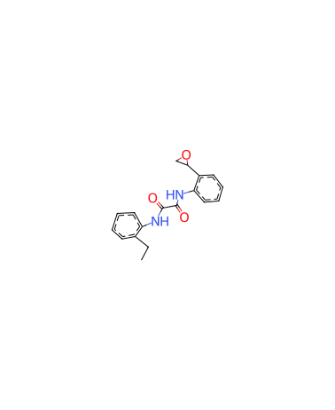 CCc1ccccc1NC(=O)C(=O)Nc1ccccc1C1CO1